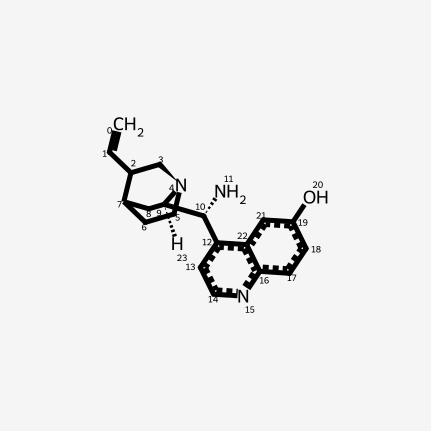 C=CC1C[N@@]2CCC1C[C@@H]2[C@H](N)c1ccnc2ccc(O)cc12